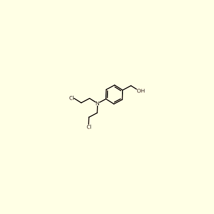 OCc1ccc(N(CCCl)CCCl)cc1